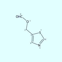 O=COCc1cncs1